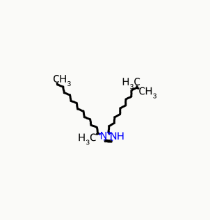 CCCCCCCCCCCCCC(C)[n+]1cc[nH]c1CCCCCCCCCC(C)C